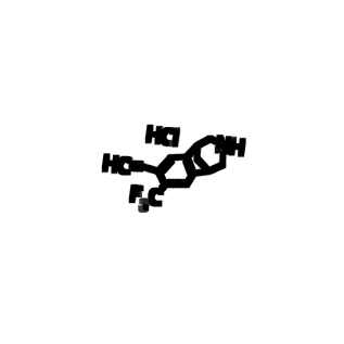 C#Cc1cc2c(cc1C(F)(F)F)C1CNCC2C1.Cl